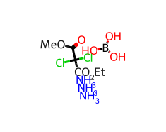 CCOC(=O)C(Cl)(Cl)C(=O)OC.N.N.N.OB(O)O